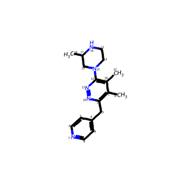 Cc1c(Cc2ccncc2)nnc(N2CCNC(C)C2)c1C